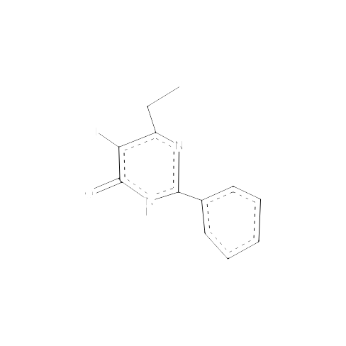 CCc1nc(-c2ccccc2)[nH]c(=O)c1I